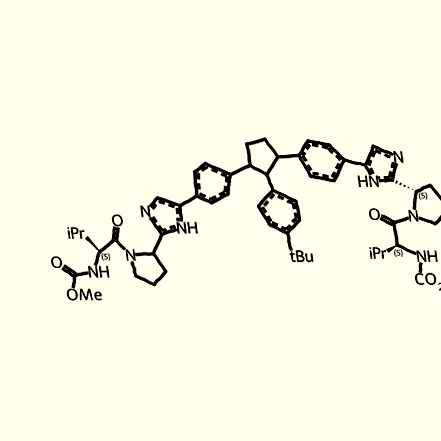 COC(=O)N[C@H](C(=O)N1CCCC1c1ncc(-c2ccc(C3CCC(c4ccc(-c5cnc([C@@H]6CCCN6C(=O)[C@@H](NC(=O)O)C(C)C)[nH]5)cc4)C3c3ccc(C(C)(C)C)cc3)cc2)[nH]1)C(C)C